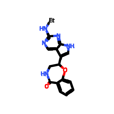 CCNc1ncc2c(C3CNC(=O)c4ccccc4O3)c[nH]c2n1